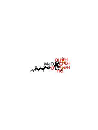 CCC(OC)(OCCCCCCCC(C)C)C(CO)(COP(O)O)COP(O)O